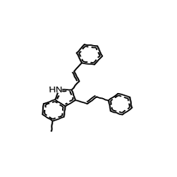 Cc1ccc2[nH]c(/C=C/c3ccccc3)c(/C=C/c3ccccc3)c2c1